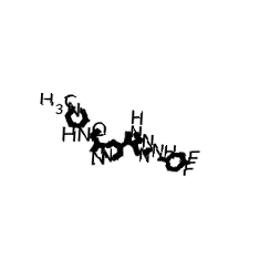 CN1CCC(NC(=O)c2cnn3ccc(-c4c[nH]c5nc(NCC6CCC(F)(F)CC6)ncc45)cc23)CC1